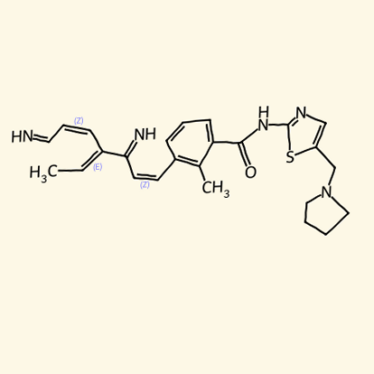 C/C=C(\C=C/C=N)C(=N)/C=C\c1cccc(C(=O)Nc2ncc(CN3CCCC3)s2)c1C